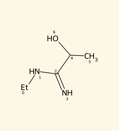 CCNC(=N)C(C)O